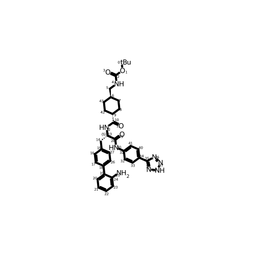 CC(C)(C)OC(=O)NC[C@H]1CC[C@H](C(=O)N[C@@H](Cc2ccc(-c3ccccc3N)cc2)C(=O)Nc2ccc(-c3nn[nH]n3)cc2)CC1